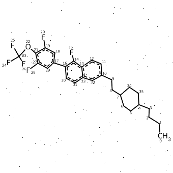 CCCCC1CCC(CCc2ccc3c(F)c(-c4cc(F)c(OC(F)(F)F)c(F)c4)ccc3c2)CC1